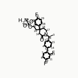 C[C@@H](c1ccc(-c2ccc(F)cc2F)cc1)N1CCC(CCOS(N)(=O)=O)(c2ccc(F)cc2)CC1=O